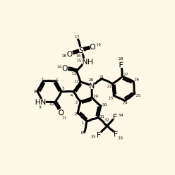 Cc1cc2c(-c3ccc[nH]c3=O)c(C(=O)NS(C)(=O)=O)n(Cc3ccccc3F)c2cc1C(F)(F)F